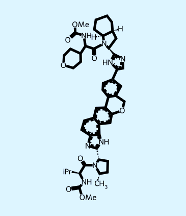 COC(=O)NC(C(=O)N1[C@H](c2ncc(-c3ccc4c(c3)COc3cc5c(ccc6nc([C@@H]7CC[C@H](C)N7C(=O)[C@@H](NC(=O)OC)C(C)C)[nH]c65)cc3-4)[nH]2)C[C@@H]2CCCC[C@@H]21)C1CCOCC1